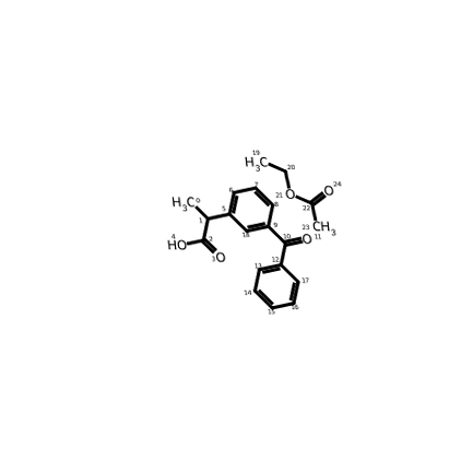 CC(C(=O)O)c1cccc(C(=O)c2ccccc2)c1.CCOC(C)=O